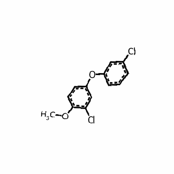 COc1ccc(Oc2cccc(Cl)c2)cc1Cl